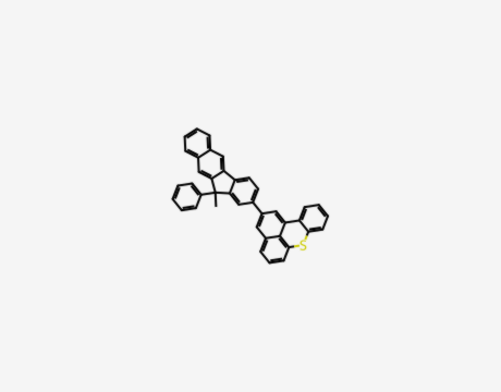 CC1(c2ccccc2)c2cc(-c3cc4c5c(cccc5c3)Sc3ccccc3-4)ccc2-c2cc3ccccc3cc21